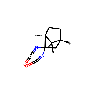 CC1(C)[C@@H]2CC[C@]1(C)C(N=C=O)(N=C=O)C2